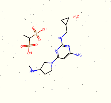 CC(S(=O)(=O)O)S(=O)(=O)O.CN[C@@H]1CCN(c2cc(N)nc(NCC3CC3)n2)C1.O